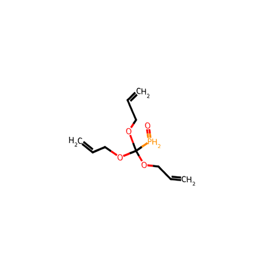 C=CCOC(OCC=C)(OCC=C)[PH2]=O